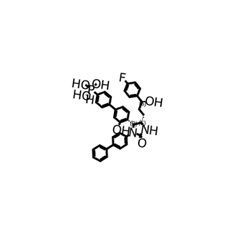 O=C1N[C@@H](CC[C@H](O)c2ccc(F)cc2)[C@@H](c2ccc(-c3ccc([PH](O)(O)O)cc3)cc2O)N1c1ccc(-c2ccccc2)cc1